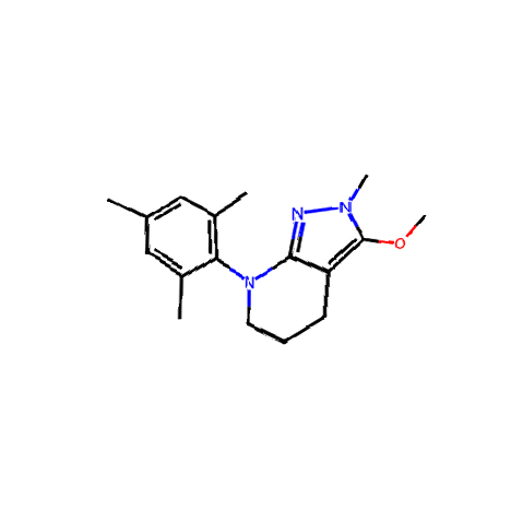 COc1c2c(nn1C)N(c1c(C)cc(C)cc1C)CCC2